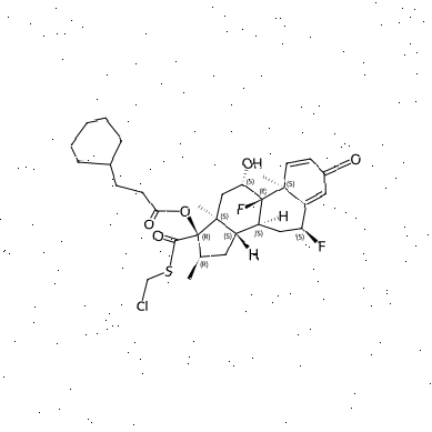 C[C@@H]1C[C@H]2[C@@H]3C[C@H](F)C4=CC(=O)C=C[C@]4(C)[C@@]3(F)[C@@H](O)C[C@]2(C)[C@@]1(OC(=O)CCC1CCCCC1)C(=O)SCCl